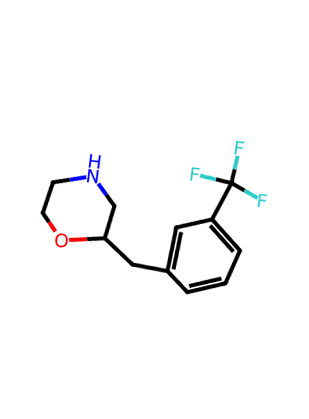 FC(F)(F)c1cccc(CC2CNCCO2)c1